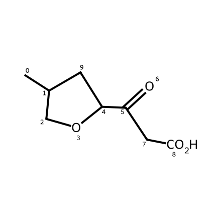 CC1COC(C(=O)CC(=O)O)C1